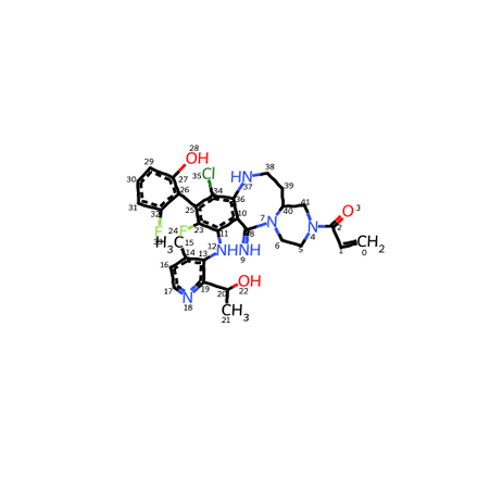 C=CC(=O)N1CCN2C(=N)c3c(Nc4c(C)ccnc4C(C)O)c(F)c(-c4c(O)cccc4F)c(Cl)c3NCCC2C1